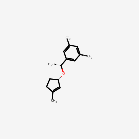 CC1=C[C@@H](O[C@H](C)c2cc(C(F)(F)F)cc(C(F)(F)F)c2)CC1